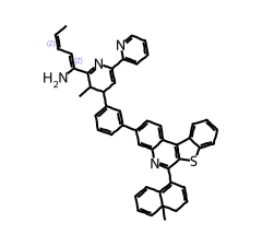 C/C=C\C=C(/N)C1=NC(c2ccccn2)=CC(c2cccc(-c3ccc4c(c3)nc(C3=C5C=CC=CC5(C)CC=C3)c3sc5ccccc5c34)c2)C1C